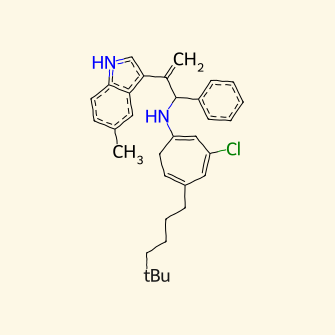 C=C(c1c[nH]c2ccc(C)cc12)C(NC1=CC(Cl)=CC(CCCCC(C)(C)C)=CC1)c1ccccc1